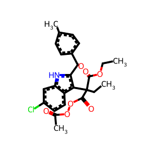 CCOC(=O)C(CC)(C(=O)OOC(C)=O)c1c(C(=O)c2ccc(C)cc2)[nH]c2cc(Cl)ccc12